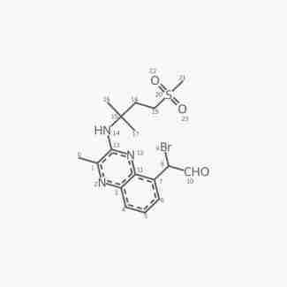 Cc1nc2cccc(C(Br)C=O)c2nc1NC(C)(C)CCS(C)(=O)=O